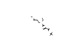 CCN(CCC(=O)OC)c1ncc(C(=O)OC(C)(C)C)s1